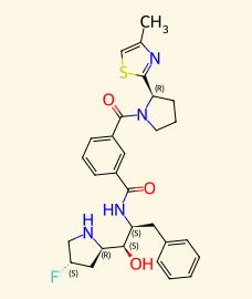 Cc1csc([C@H]2CCCN2C(=O)c2cccc(C(=O)N[C@@H](Cc3ccccc3)[C@@H](O)[C@H]3C[C@H](F)CN3)c2)n1